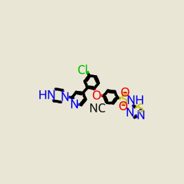 N#Cc1cc(S(=O)(=O)Nc2ncns2)ccc1Oc1ccc(Cl)cc1-c1ccnc(N2CCNCC2)c1